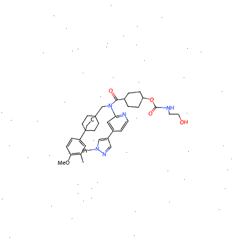 COc1ccc(C23CCC(CN(C(=O)C4CCC(OC(=O)NCCO)CC4)c4cc(-c5cnn(C(C)C)c5)ccn4)(CC2)CC3)cc1C